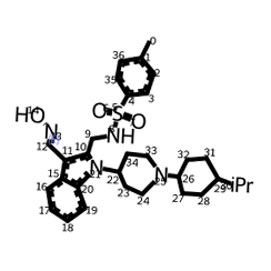 Cc1ccc(S(=O)(=O)NCc2c(/C=N/O)c3ccccc3n2C2CCN(C3CCC(C(C)C)CC3)CC2)cc1